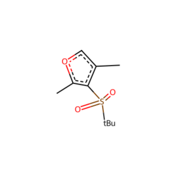 Cc1coc(C)c1S(=O)(=O)C(C)(C)C